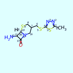 Cc1nnc(SCC2CS[C@@H]3C(N)C(=O)N3C2)s1